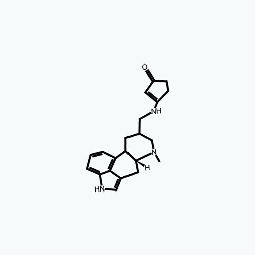 CN1CC(CNC2=CC(=O)CC2)CC2c3cccc4[nH]cc(c34)C[C@H]21